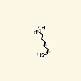 CNCC/C=C/C=C\S